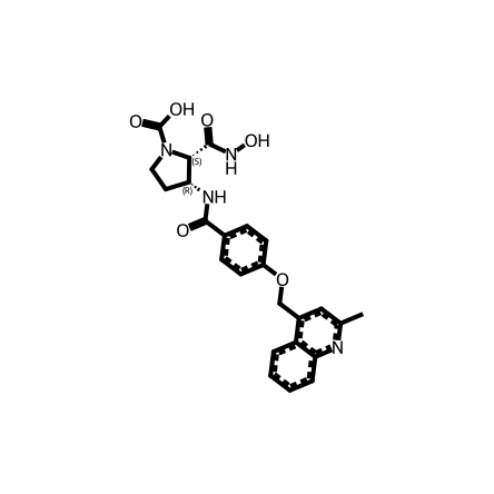 Cc1cc(COc2ccc(C(=O)N[C@@H]3CCN(C(=O)O)[C@@H]3C(=O)NO)cc2)c2ccccc2n1